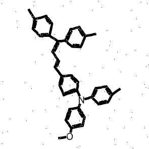 COc1ccc(N(c2ccc(C)cc2)c2ccc(/C=C/C=C(c3ccc(C)cc3)c3ccc(C)cc3)cc2)cc1